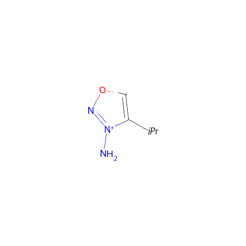 CC(C)c1con[n+]1N